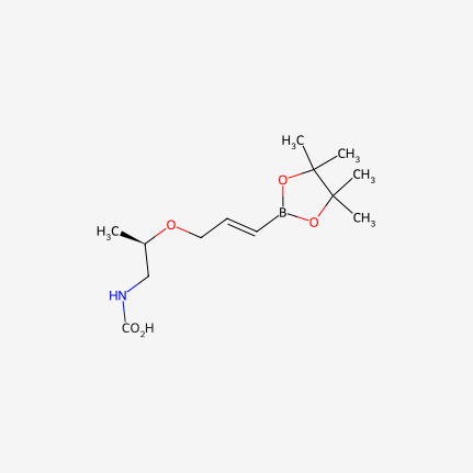 C[C@H](CNC(=O)O)OC/C=C/B1OC(C)(C)C(C)(C)O1